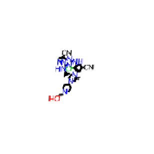 C[C@H]1CN(C2CCN(CCO)CC2)CCN1c1cc(C#N)cc(Nc2nc(NC3CC3)n3ncc(C#N)c3n2)c1Cl